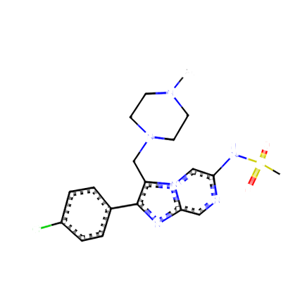 CC(=O)N1CCN(Cc2c(-c3ccc(Cl)cc3)nc3cnc(NS(C)(=O)=O)cn23)CC1